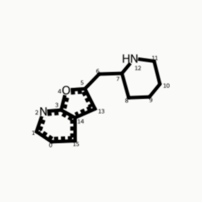 c1cnc2oc(CC3CCCCN3)cc2c1